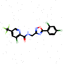 O=C(NCc1noc(-c2ccc(Cl)cc2Cl)n1)c1ncc(C(F)(F)F)cc1Cl